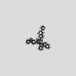 c1ccc(-c2ccc3cc(-c4nc(-c5ccc6c(c5)oc5ccccc56)nc(-n5c6ccccc6c6c7ccccc7ccc65)n4)ccc3c2)cc1